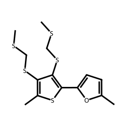 CSCSc1c(C)sc(-c2ccc(C)o2)c1SCSC